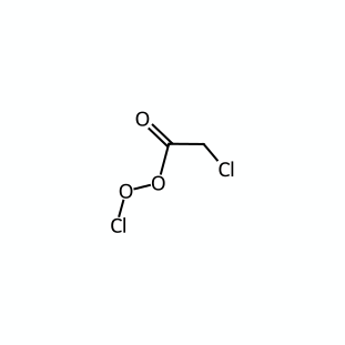 O=C(CCl)OOCl